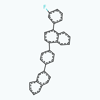 Fc1cccc(-c2ccc(-c3ccc(-c4ccc5ccccc5c4)cc3)c3ccccc23)c1